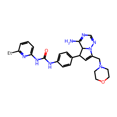 CCc1cccc(NC(=O)Nc2ccc(C3C=C(CN4CCOCC4)N4N=CN=C(N)C34)cc2)n1